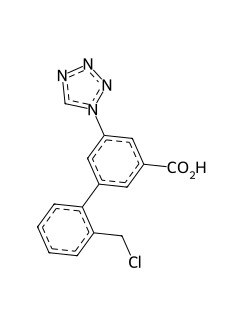 O=C(O)c1cc(-c2ccccc2CCl)cc(-n2cnnn2)c1